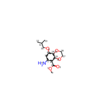 COC(=O)c1c(N)cc(OCC(C)C)c2c1OCCO2